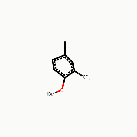 CC[C@H](C)Oc1ccc(C)cc1C(F)(F)F